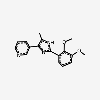 COc1cccc(-c2nc(-c3cccnc3)c(C)[nH]2)c1OC